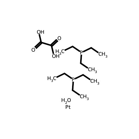 CCP(CC)CC.CCP(CC)CC.O.O=C(O)C(=O)O.[Pt]